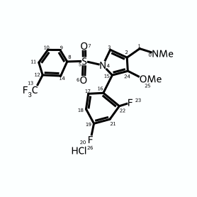 CNCc1cn(S(=O)(=O)c2cccc(C(F)(F)F)c2)c(-c2ccc(F)cc2F)c1OC.Cl